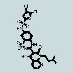 CC(C)CCn1c(=O)c(C2=NS(=O)(=O)c3cc(NS(=O)(=O)c4cc(Cl)c(Cl)s4)ccc3N2)c(O)c2cccnc21